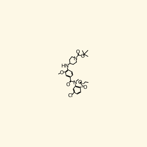 CCS(=O)(=O)c1ccc(Cl)cc1N(C)C(=O)c1ccc(NC2CCN(C(=O)OC(C)(C)C)CC2)c(OC)c1